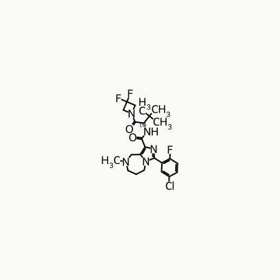 CN1CCCn2c(-c3cc(Cl)ccc3F)nc(C(=O)N[C@H](C(=O)N3CC(F)(F)C3)C(C)(C)C)c2C1